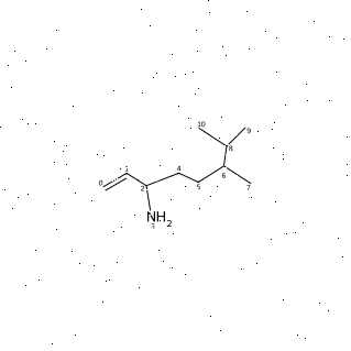 C=CC(N)CCC(C)C(C)C